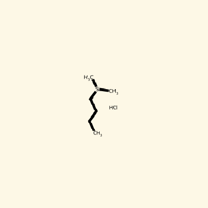 CCCC[Si](C)C.Cl